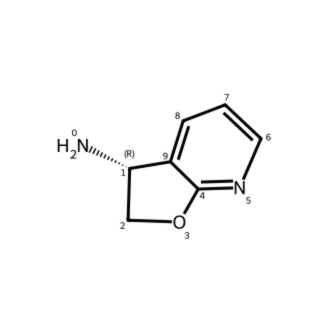 N[C@H]1COc2ncccc21